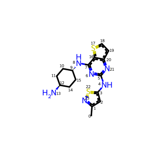 Cc1cc(Nc2nc(N[C@H]3CC[C@H](N)CC3)c3sccc3n2)sn1